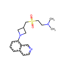 CN(C)CCS(=O)(=O)CC1CN(c2cccc3ccncc23)C1